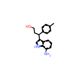 Cc1ccc(C(CCO)c2c[nH]c3c(N)cccc23)cc1